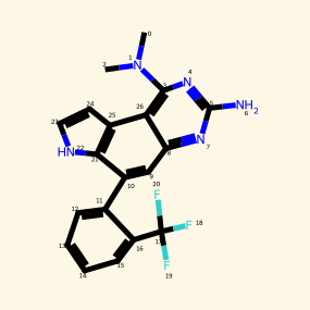 CN(C)c1nc(N)nc2cc(-c3ccccc3C(F)(F)F)c3[nH]ccc3c12